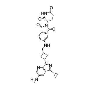 Nc1cnc2c(c1)c(C1CC1)nn2[C@H]1C[C@H](CNc2ccc3c(c2)C(=O)N(C2CCC(=O)NC2=O)C3=O)C1